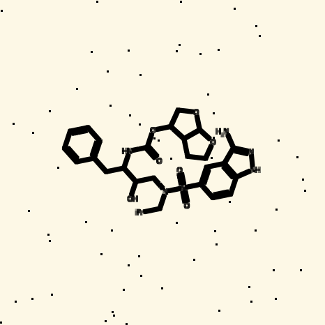 CC(C)CN(CC(O)C(Cc1ccccc1)NC(=O)OC1COC2OCCC12)S(=O)(=O)c1ccc2[nH]nc(N)c2c1